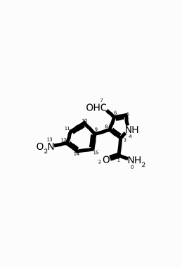 NC(=O)c1[nH]cc(C=O)c1-c1ccc([N+](=O)[O-])cc1